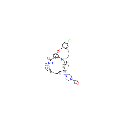 C[C@@H]1[C@@H](C)C/C=C/[C@]2(CN3CCN(C4COC4)CC3)C[C@]23CC[C@H]3CN2CCCCc3cc(Cl)ccc3COc3ccc(nc32)C(=O)NS1(=O)=O